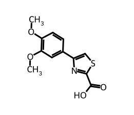 COc1ccc(-c2csc(C(=O)O)n2)cc1OC